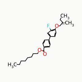 CCCCCCCCOC(=O)c1ccc(-c2ccc(OC[C@@H](C)CC)c(F)c2)cc1